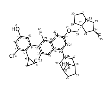 Oc1cc(Cl)c(C2CC2)c(-c2c(Cl)cc3c(N4CC5CCC(C4)N5)nc(OC[C@]45CCCN4C[C@@H](F)C5)nc3c2F)c1